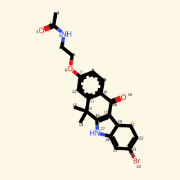 CC(=O)NCCOc1ccc2c(c1)C(C)(C)C1=C(C2=O)C2CC=C(Br)C=C2N1